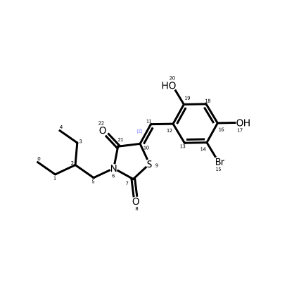 CCC(CC)CN1C(=O)S/C(=C\c2cc(Br)c(O)cc2O)C1=O